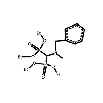 CCOP(=O)(OCC)C(N(C)Cc1ccccc1)P(=O)(OCC)OCC